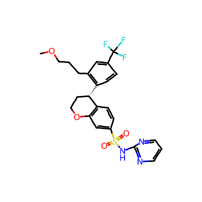 COCCCc1cc(C(F)(F)F)ccc1[C@H]1CCOc2cc(S(=O)(=O)Nc3ncccn3)ccc21